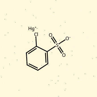 O=S(=O)([O-])c1ccccc1Cl.[Hg+]